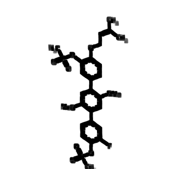 COc1cc(-c2ccc(OCC=C(C)C)c(OS(C)(=O)=O)c2)c(OC)cc1-c1ccc(OS(C)(=O)=O)c(F)c1